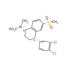 CN(C(=O)O)[C@H]1CC[C@@H](c2ccc(Cl)c(Cl)c2)c2cc(S(C)(=O)=O)ccc21